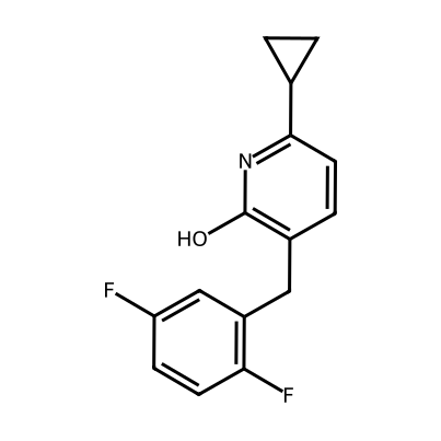 Oc1nc(C2CC2)ccc1Cc1cc(F)ccc1F